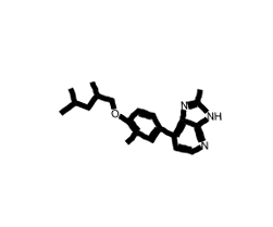 Cc1nc2c(-c3ccc(OCC(C)CC(C)C)c(C)c3)ccnc2[nH]1